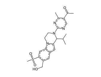 CC(=O)c1cnc(N2CCn3c(cc4cc(CO)c(S(C)(=O)=O)cc43)C2C(C)C)nc1C